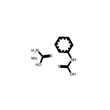 NC(O)=S.OC(=S)Nc1ccccc1.[Mo]